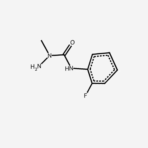 CN(N)C(=O)Nc1ccccc1F